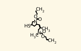 C=CCOC(=O)N(C)CC(C)=CC1CC(S)CN1C(=O)OCC=C